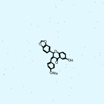 COc1ccc(C=C2C(=O)c3cc(O)ccc3OC2c2ccc3c(c2)OCO3)cc1